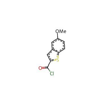 COc1ccc2sc(C(=O)Cl)cc2c1